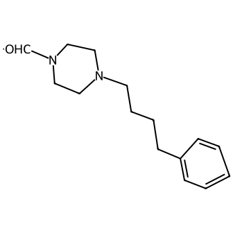 O=[C]N1CCN(CCCCc2ccccc2)CC1